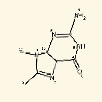 CC1=NC2C(=O)NC(N)=NC2N1C